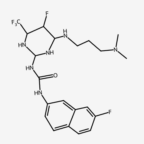 CN(C)CCCNC1NC(NC(=O)Nc2ccc3ccc(F)cc3c2)NC(C(F)(F)F)C1F